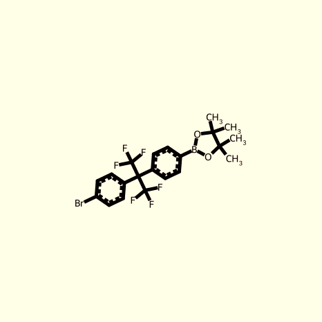 CC1(C)OB(c2ccc(C(c3ccc(Br)cc3)(C(F)(F)F)C(F)(F)F)cc2)OC1(C)C